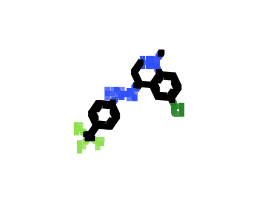 CC/C(=N\Nc1ccc(C(F)(F)F)cc1)c1cc(Cl)ccc1NC